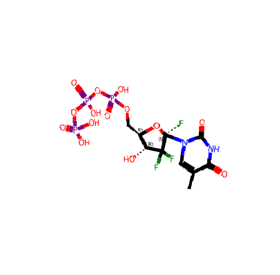 Cc1cn([C@]2(F)O[C@H](COP(=O)(O)OP(=O)(O)OP(=O)(O)O)[C@@H](O)C2(F)F)c(=O)[nH]c1=O